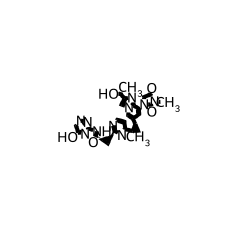 CC(O)c1cn2cc(C3CC3(C)c3ccnc([C@H]4C[C@@H]4C(=O)Nc4nncc(O)n4)n3)cc(N3CC(=O)N(C)C3=O)c2n1